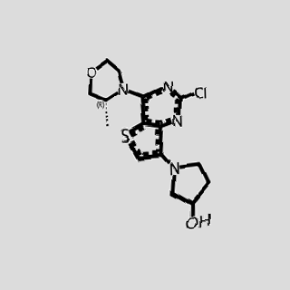 C[C@@H]1COCCN1c1nc(Cl)nc2c(N3CCC(O)C3)csc12